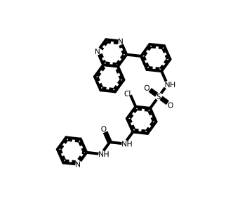 O=C(Nc1ccc(S(=O)(=O)Nc2cccc(-c3ncnc4ccccc34)c2)c(Cl)c1)Nc1ccccn1